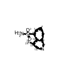 NS(=O)(=O)c1cccc2cncc(F)c12